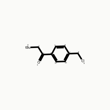 CC(C)(C)CC(=O)c1ccc(CCl)cc1